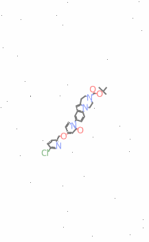 CC(C)(C)OC(=O)N1CCc2cc3cc(-n4ccc(OCc5ccc(Cl)cn5)cc4=O)ccc3n2CC1